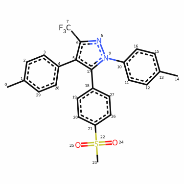 Cc1ccc(-c2c(C(F)(F)F)nn(-c3ccc(C)cc3)c2-c2ccc(S(C)(=O)=O)cc2)cc1